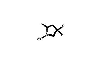 CCN1CC(F)(F)CC1C